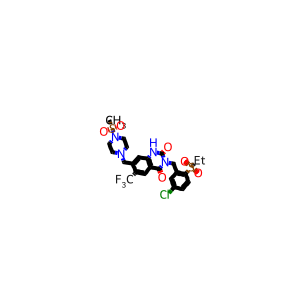 CCS(=O)(=O)c1ccc(Cl)cc1Cn1c(=O)[nH]c2cc(CN3CCN(S(C)(=O)=O)CC3)c(C(F)(F)F)cc2c1=O